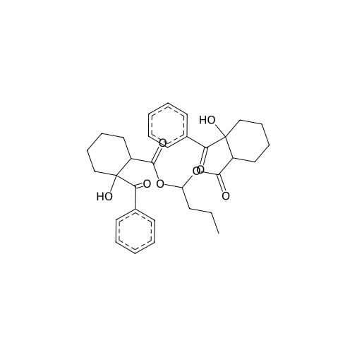 CCCC(OC(=O)C1CCCCC1(O)C(=O)c1ccccc1)OC(=O)C1CCCCC1(O)C(=O)c1ccccc1